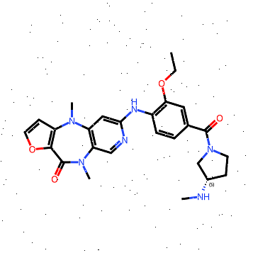 CCOc1cc(C(=O)N2CC[C@H](NC)C2)ccc1Nc1cc2c(cn1)N(C)C(=O)c1occc1N2C